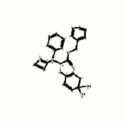 O=C(OCc1ccccc1)[C@H](CC1=CCC(O)(O)C=C1)N(C1=NC=C1)c1ccccc1